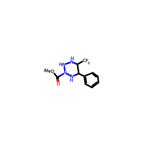 COC(=O)N1NNC(C(F)(F)F)C(c2ccccc2)N1